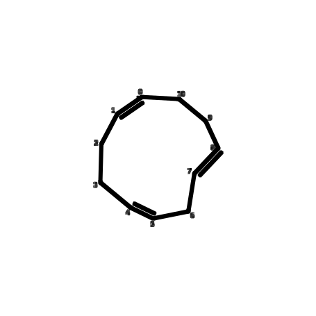 [C]1=C\CC/C=C\C/C=C/CC/1